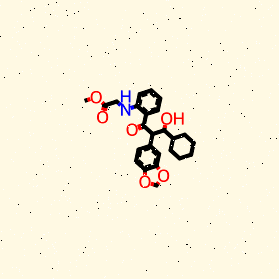 COC(=O)CNc1ccccc1C(=O)C(c1ccc2c(c1)OCO2)C(O)C1CCCCC1